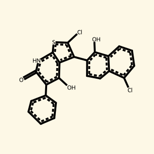 O=c1[nH]c2sc(Cl)c(-c3ccc4c(Cl)cccc4c3O)c2c(O)c1-c1ccccc1